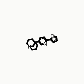 c1coc(-c2ccc(C34CCCN(CCC3)C4)cn2)c1